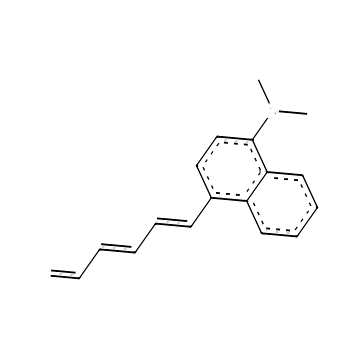 CN(C)c1ccc(C=CC=CC=O)c2ccccc12